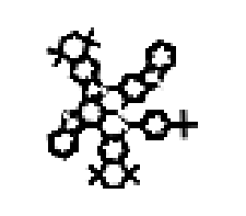 CC(C)(C)c1ccc(N2B3c4cc5sc6ccccc6c5cc4-n4c5cc6c(cc5c5c7oc8ccccc8c7c(c3c54)-c3cc4c(cc32)C(C)(C)CCC4(C)C)C(C)(C)CCC6(C)C)cc1